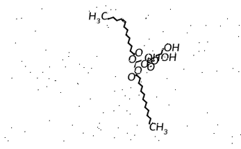 CCCC/C=C\CCCCCCCC(=O)O[C@H](COC(=O)CCCCCCCCCCCCC)COP(=O)(O)OC[C@@H](O)CO